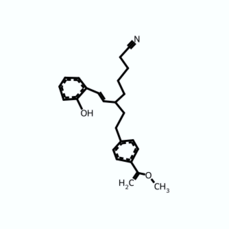 C=C(OC)c1ccc(CCC(/C=C/c2ccccc2O)CCCCC#N)cc1